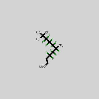 COCCC(F)(F)C(F)(F)C(F)(C(F)(F)F)C(F)(F)C(F)(F)C(F)(F)C(C(F)(F)F)(C(F)(F)F)C(F)(F)F